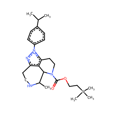 CC(C)c1ccc(-n2nc3c4c2CCN(C(=O)OCC[Si](C)(C)C)C4C(C)NCC3)cc1